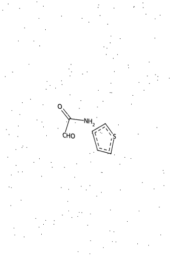 NC(=O)C=O.c1ccsc1